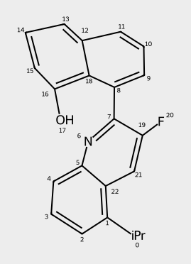 CC(C)c1cccc2nc(-c3cccc4cccc(O)c34)c(F)cc12